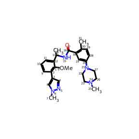 COc1c(-c2cnn(C)c2)cccc1[C@@H](C)NC(=O)c1cc(N2CCN(C)CC2)ccc1C